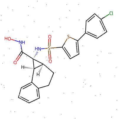 O=C(NO)[C@]1(NS(=O)(=O)c2ccc(-c3ccc(Cl)cc3)s2)[C@@H]2c3ccccc3CC[C@@H]21